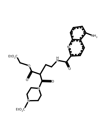 CCOC(=O)COC(=O)C(CCNC(=O)c1ccc2c(N)cccc2n1)C(=O)N1CCN(C(=O)OCC)CC1